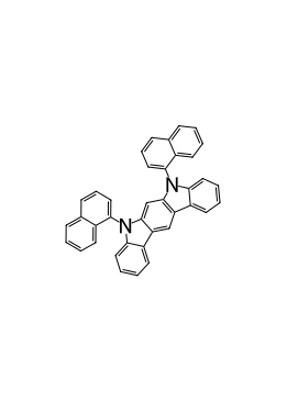 c1ccc2c(-n3c4ccccc4c4cc5c6ccccc6n(-c6cccc7ccccc67)c5cc43)cccc2c1